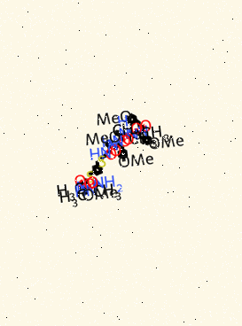 COc1ccc(CCC(=O)N(C)[C@@H](Cc2ccc(OC)cc2)C(=O)N(C)CC(=O)NC(C(=O)N[C@@H](Cc2ccc(OC)cc2)C(=O)N2CCCC2C(=O)NCCSCc2cccc(CSCCC(=O)N(C)C(C(=O)N[C@@H](C)C(N)=O)[C@@H](C)OC)c2)[C@@H](C)OC)cc1